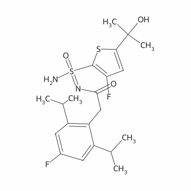 CC(C)c1cc(F)cc(C(C)C)c1CC(=O)N=S(N)(=O)c1sc(C(C)(C)O)cc1F